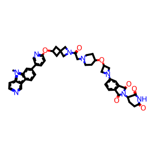 Cn1c2ccncc2c2ccc(-c3ccc(OC4CC5(C4)CN(C(=O)CN4CCC(OC6CN(c7ccc8c(c7)C(=O)N(C7CCC(=O)NC7=O)C8=O)C6)CC4)C5)nc3)cc21